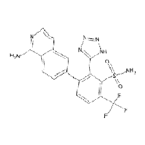 Nc1nccc2cc(-c3ccc(C(F)(F)F)c(S(N)(=O)=O)c3-c3nnn[nH]3)ccc12